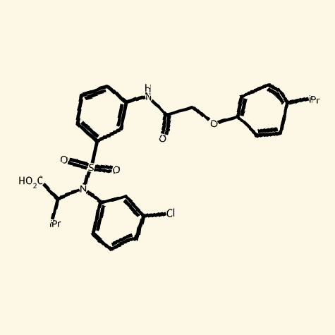 CC(C)c1ccc(OCC(=O)Nc2cccc(S(=O)(=O)N(c3cccc(Cl)c3)C(C(=O)O)C(C)C)c2)cc1